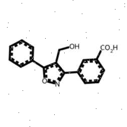 O=C(O)c1cccc(-c2noc(-c3ccccc3)c2CO)c1